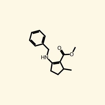 COC(=O)C1=C(NCc2ccccc2)CCC1C